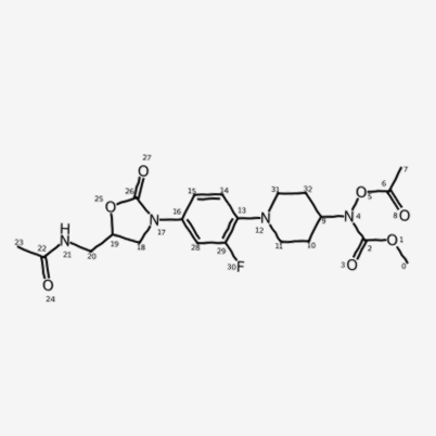 COC(=O)N(OC(C)=O)C1CCN(c2ccc(N3CC(CNC(C)=O)OC3=O)cc2F)CC1